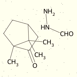 CC12CCC(CC1=O)C2(C)C.NNC=O